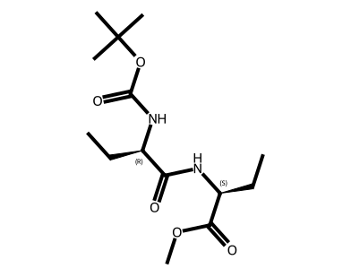 CC[C@H](NC(=O)[C@@H](CC)NC(=O)OC(C)(C)C)C(=O)OC